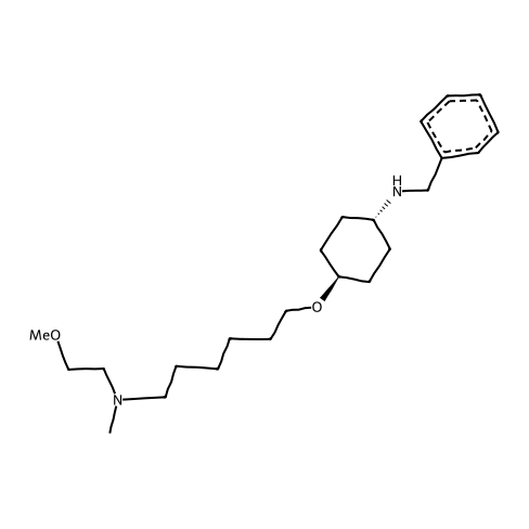 COCCN(C)CCCCCCO[C@H]1CC[C@H](NCc2ccccc2)CC1